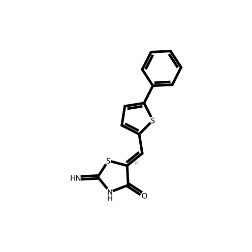 N=C1NC(=O)/C(=C/c2ccc(-c3ccccc3)s2)S1